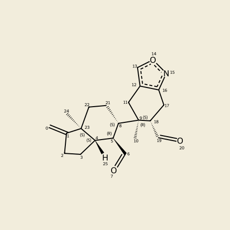 C=C1CC[C@H]2[C@H](C=O)[C@@H]([C@@]3(C)Cc4conc4C[C@@H]3C=O)CC[C@]12C